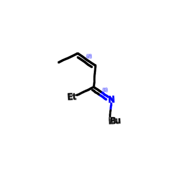 C/C=C\C(CC)=N\C(C)CC